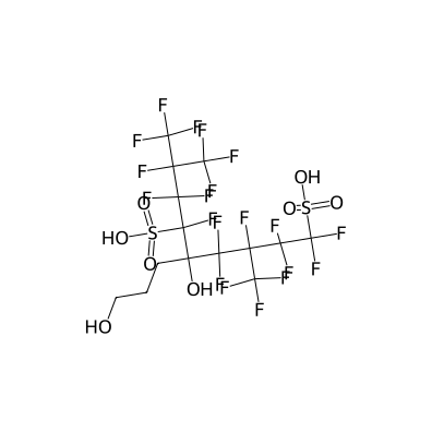 O=S(=O)(O)C(F)(F)C(F)(F)C(F)(C(F)(F)F)C(F)(F)C(O)(CCCO)C(F)(C(F)(F)C(F)(C(F)(F)F)C(F)(F)F)S(=O)(=O)O